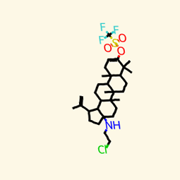 C=C(C)C1CCC2(NCCCl)CCC3(C)C(CCC4C5(C)CC=C(OS(=O)(=O)C(F)(F)F)C(C)(C)C5CCC43C)C12